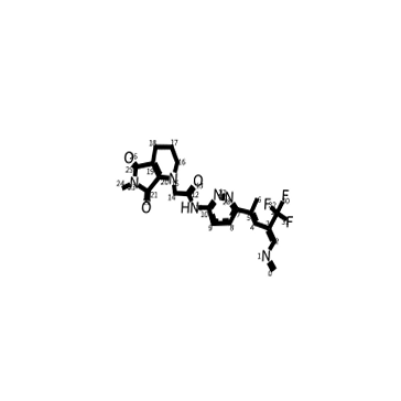 C=N/C=C(\C=C(/C)c1ccc(NC(=O)CN2CCCC3=C2C(=O)N(C)C3=O)nn1)C(F)(F)F